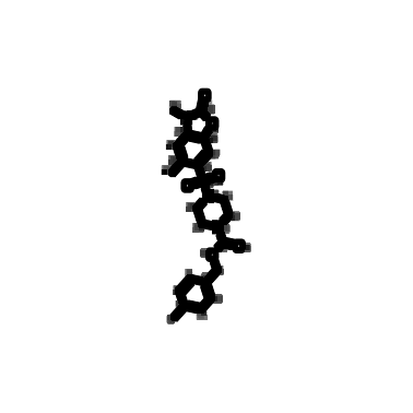 Cc1ccc(COC(=O)N2CCN(S(=O)(=O)c3cc4oc(=O)n(C)c4cc3C)CC2)cc1